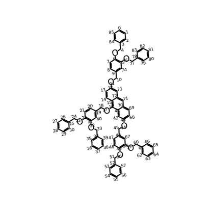 c1ccc(COc2ccc(COc3ccc4c(OCc5ccc(OCc6ccccc6)c(OCc6ccccc6)c5)c5cc(OCc6ccc(OCc7ccccc7)c(OCc7ccccc7)c6)ccc5cc4c3)cc2OCc2ccccc2)cc1